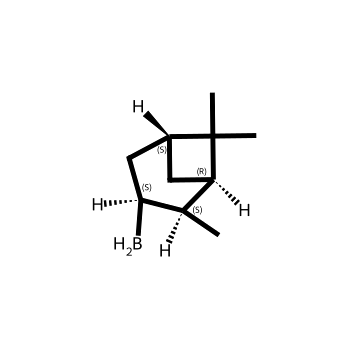 B[C@H]1C[C@H]2C[C@H]([C@H]1C)C2(C)C